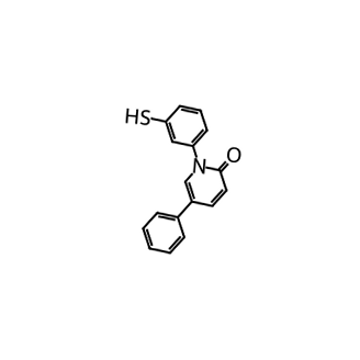 O=c1ccc(-c2ccccc2)cn1-c1cccc(S)c1